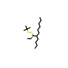 CCCCCCC(CCCC)[C@@H](CC)SSC(C)(C)C